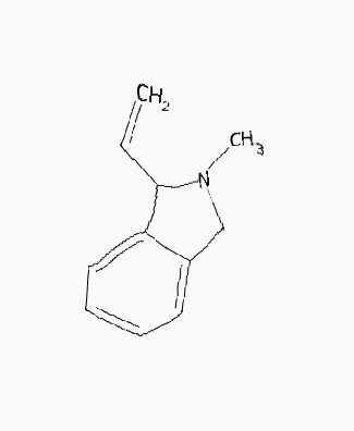 C=CC1c2ccccc2CN1C